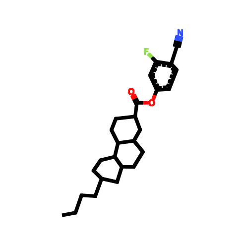 CCCCC1CCC2C(CCC3CC(C(=O)Oc4ccc(C#N)c(F)c4)CCC32)C1